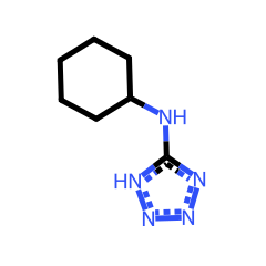 C1CCC(Nc2nnn[nH]2)CC1